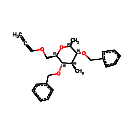 C=C=COC[C@H]1O[C@@H](C)[C@H](OCc2ccccc2)[C@@H](C)[C@@H]1OCc1ccccc1